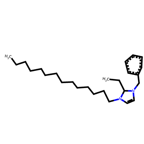 CCCCCCCCCCCCCCN1C=CN(Cc2ccccc2)C1CC